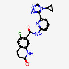 O=C1CCc2cc(F)c(C(=O)Nc3cccc(-c4nncn4C4CC4)n3)cc2N1